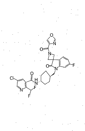 O=C(N[C@H]1CC[C@H](CN2C(=O)C3(CN(C(=O)c4cocn4)C3)c3ccc(F)cc32)CC1)c1cc(Cl)cnc1C(F)F